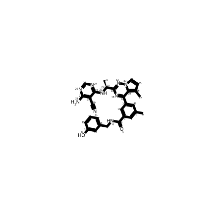 Cc1cc(C(=O)NCc2cccc(O)c2)cc(-c2nc([C@H](C)Nc3ncnc(N)c3C#N)nn3ccc(C)c23)c1